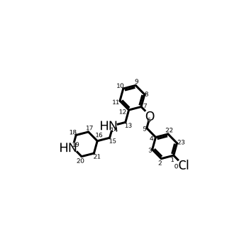 Clc1ccc(COc2ccccc2CNCC2CCNCC2)cc1